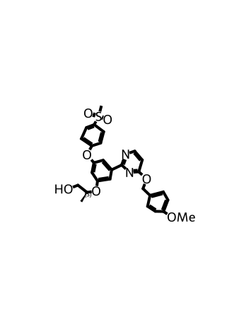 COc1ccc(COc2ccnc(-c3cc(Oc4ccc(S(C)(=O)=O)cc4)cc(O[C@@H](C)CO)c3)n2)cc1